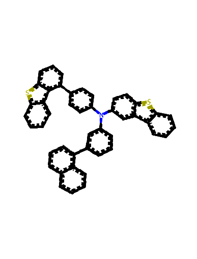 c1cc(-c2cccc3ccccc23)cc(N(c2ccc(-c3cccc4sc5ccccc5c34)cc2)c2ccc3sc4ccccc4c3c2)c1